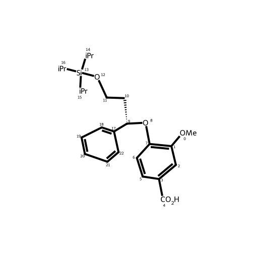 COc1cc(C(=O)O)ccc1O[C@@H](CCO[Si](C(C)C)(C(C)C)C(C)C)c1ccccc1